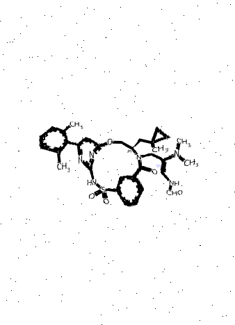 Cc1cccc(C)c1-c1cc2nc(n1)NS(=O)(=O)c1cccc(c1)C(=O)N(C/C(=C/NC=O)N(C)C)[C@H](CC1(C)CC1)CO2